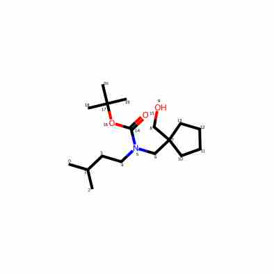 CC(C)CCN(CC1(CO)CCCC1)C(=O)OC(C)(C)C